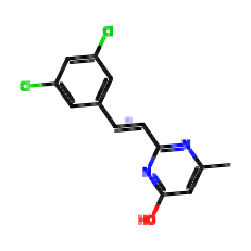 Cc1cc(O)nc(/C=C/c2cc(Cl)cc(Cl)c2)n1